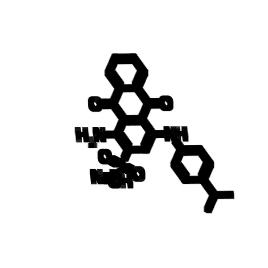 CC(C)c1ccc(Nc2cc(S(=O)(=O)O)c(N)c3c2C(=O)c2ccccc2C3=O)cc1.[NaH]